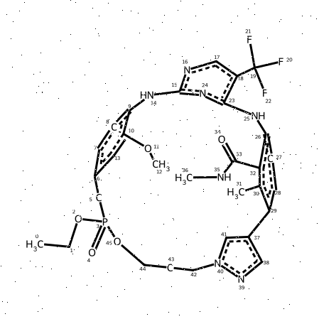 CCOP1(=O)Cc2ccc(c(OC)c2)Nc2ncc(C(F)(F)F)c(n2)Nc2ccc(c(C)c2C(=O)NC)-c2cnn(c2)CCCO1